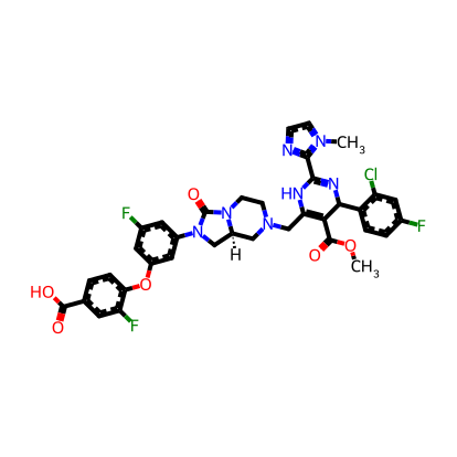 COC(=O)C1=C(CN2CCN3C(=O)N(c4cc(F)cc(Oc5ccc(C(=O)O)cc5F)c4)C[C@@H]3C2)NC(c2nccn2C)=NC1c1ccc(F)cc1Cl